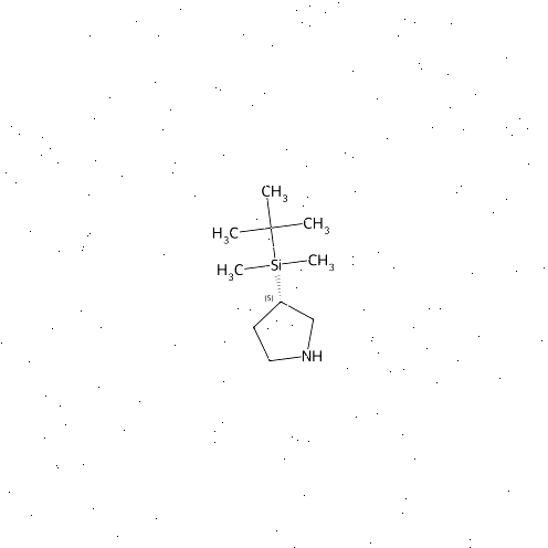 CC(C)(C)[Si](C)(C)[C@H]1CCNC1